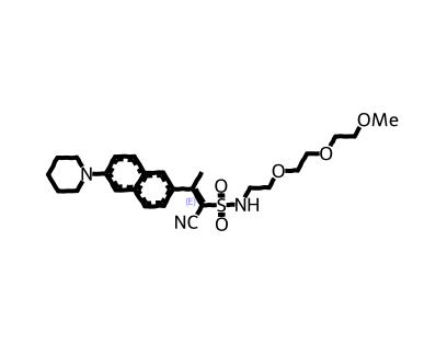 COCCOCCOCCNS(=O)(=O)/C(C#N)=C(\C)c1ccc2cc(N3CCCCC3)ccc2c1